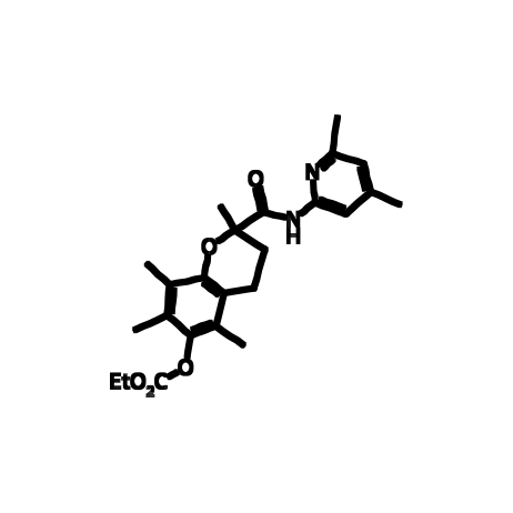 CCOC(=O)Oc1c(C)c(C)c2c(c1C)CCC(C)(C(=O)Nc1cc(C)cc(C)n1)O2